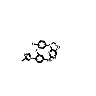 Cc1cn(-c2ccc(Nc3ncc4c(n3)N(c3ccc(F)cc3)CCO4)cc2F)cn1